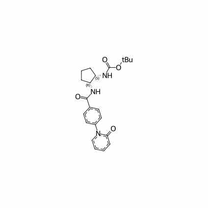 CC(C)(C)OC(=O)N[C@H]1CCC[C@H]1NC(=O)c1ccc(-n2ccccc2=O)cc1